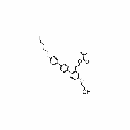 C=C(C)C(=O)OCCc1cc(OCCO)ccc1-c1ccc(-c2ccc(CCCCCF)cc2)cc1F